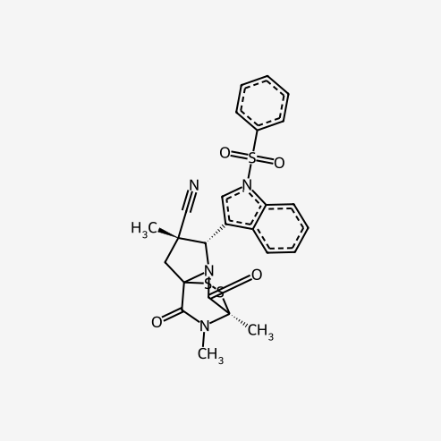 CN1C(=O)C23C[C@](C)(C#N)[C@H](c4cn(S(=O)(=O)c5ccccc5)c5ccccc45)N2C(=O)[C@@]1(C)SS3